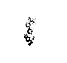 CC(C)(O)[C@H]1CN(c2cc(-n3ncc4ccc([C@]5(C#N)CC56CC6)cc43)ncn2)CCO1